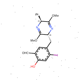 COC1=N[C@H](Cc2cc(C=O)c(O)cc2I)C(OC)=N[C@H]1C(C)C